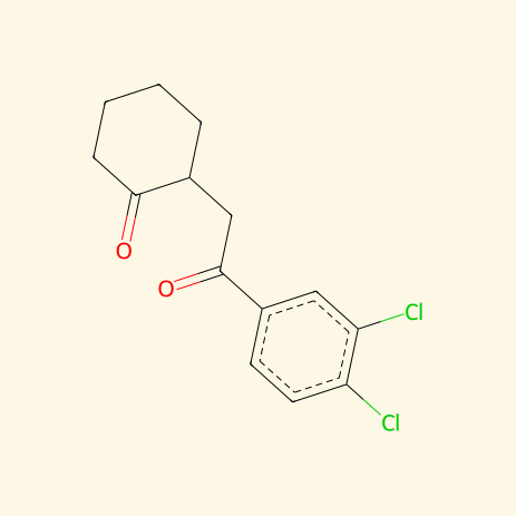 O=C(CC1CCCCC1=O)c1ccc(Cl)c(Cl)c1